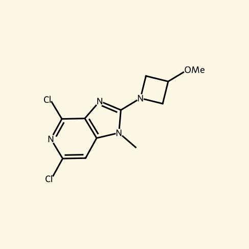 COC1CN(c2nc3c(Cl)nc(Cl)cc3n2C)C1